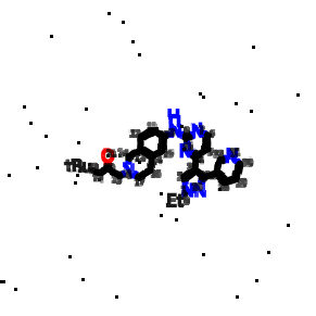 CCn1cc(-c2ccnc(Nc3ccc4c(c3)CCN(CC(=O)CC(C)(C)C)C4)n2)c(-c2cccnc2)n1